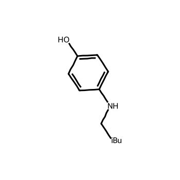 CCC(C)CNc1ccc(O)cc1